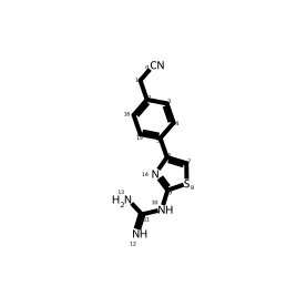 N#CCc1ccc(-c2csc(NC(=N)N)n2)cc1